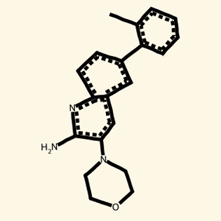 Cc1ccc[c]c1-c1ccc2nc(N)c(N3CCOCC3)cc2c1